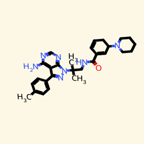 Cc1ccc(-c2nn(C(C)(C)CNC(=O)C3=CC(N4CCCCC4)CC=C3)c3ncnc(N)c23)cc1